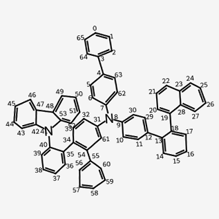 c1ccc(-c2ccc(N(c3ccc(-c4ccccc4-c4cccc5ccccc45)cc3)c3ccc(-c4ccccc4-n4c5ccccc5c5ccccc54)c(-c4ccccc4)c3)cc2)cc1